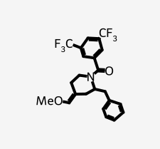 COC=C1CCN(C(=O)c2cc(C(F)(F)F)cc(C(F)(F)F)c2)C(Cc2ccccc2)C1